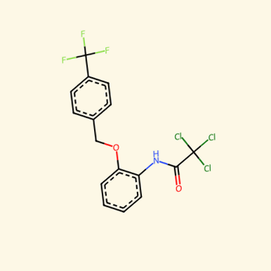 O=C(Nc1ccccc1OCc1ccc(C(F)(F)F)cc1)C(Cl)(Cl)Cl